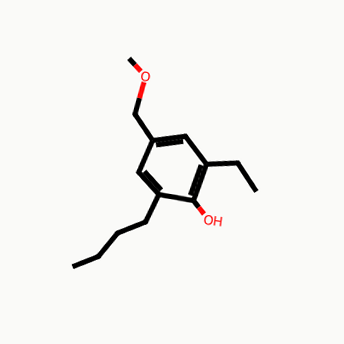 CCCCc1cc(COC)cc(CC)c1O